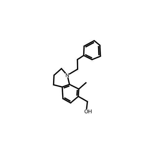 Cc1c(CO)ccc2c1N(CCc1ccccc1)CCC2